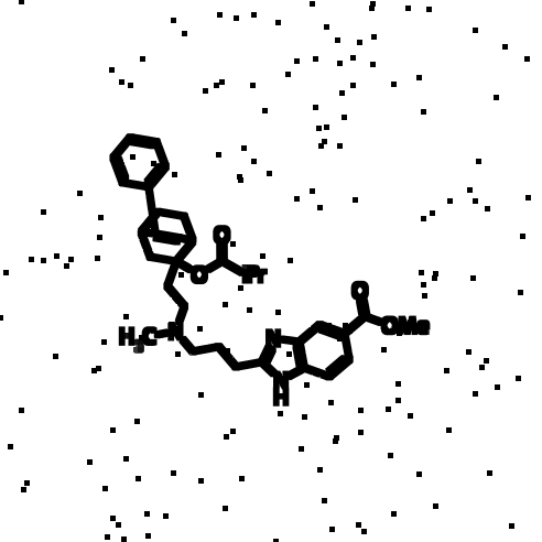 COC(=O)c1ccc2[nH]c(CCCN(C)CCC3(OC(=O)C(C)C)CC4CCC3C=C4c3ccccc3)nc2c1